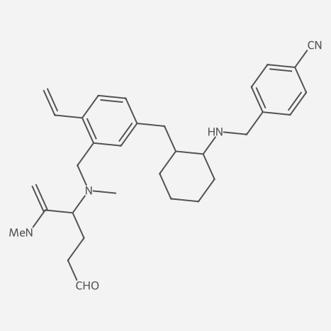 C=Cc1ccc(CC2CCCCC2NCc2ccc(C#N)cc2)cc1CN(C)C(CCC=O)C(=C)NC